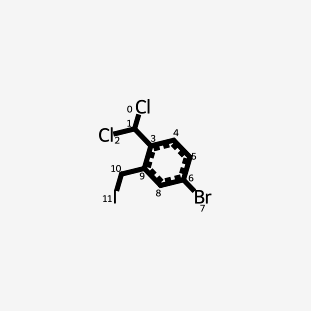 ClC(Cl)c1ccc(Br)cc1CI